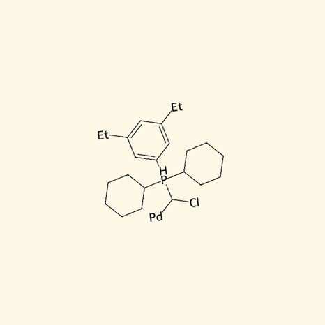 CCc1cc(CC)cc([PH]([CH](Cl)[Pd])(C2CCCCC2)C2CCCCC2)c1